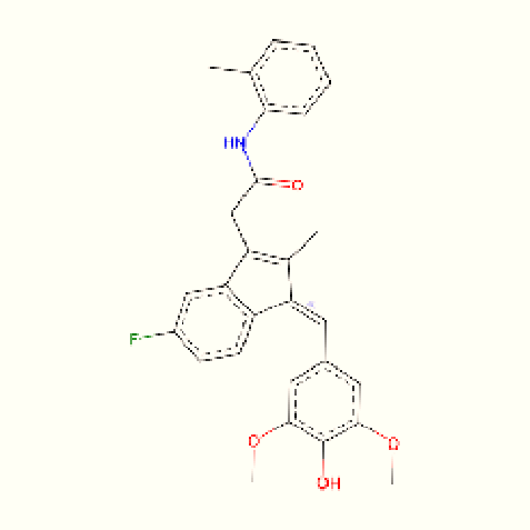 COc1cc(/C=C2/C(C)=C(CC(=O)Nc3ccccc3C)c3cc(F)ccc32)cc(OC)c1O